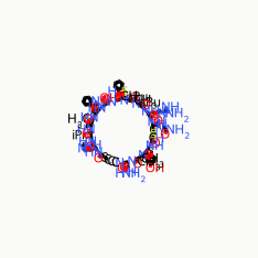 CCCC[C@H]1C(=O)N(C)[C@@H](CCCC)C(=O)N[C@@H](CCCNC(=N)N)C(=O)NC(C(=O)NCC(N)=O)CSCC(=O)N[C@@H](Cc2ccc(O)cc2)C(=O)N(C)[C@@H](C)C(=O)N[C@@H](CC(N)=O)C(=O)NCCCCC(=O)N[C@@H](Cc2cnc[nH]2)C(=O)N[C@@H](CC(C)C)C(=O)NC2(C[C@@H]2C)C(=O)NC(Cc2c[nH]c3ccccc23)C(=O)N[C@@H](CO)C(=O)N[C@@H](Cc2csc3ccccc23)C(=O)N1C